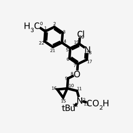 Cc1ccc(-c2cc(OCC3(CN(C(=O)O)C(C)(C)C)CC3)cnc2Cl)cc1